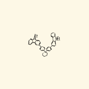 CCn1c2ccccc2c2cc(-c3ccc(C4(c5ccc(-c6ccc7c(c6)c6ccccc6n7CC)cc5)CCCCC4)cc3)ccc21